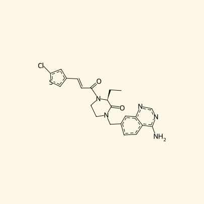 CC[C@H]1C(=O)N(Cc2ccc3c(N)ncnc3c2)CCN1C(=O)C=Cc1csc(Cl)c1